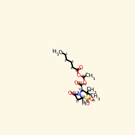 CCCCCC(=O)OC(C)OC(=O)[C@@H]1N2C(=O)C[C@H]2S(=O)(=O)C1(C)C